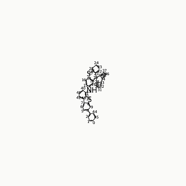 c1ccc(-c2ccc3c(c2)sc2c(Nc4ccc5c(c4)C4(c6ccccc6S5)c5ccccc5-c5ccccc54)cccc23)cc1